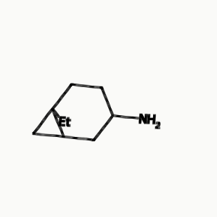 CCC12CCC(N)CC1C2